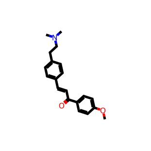 COc1ccc(C(=O)C=Cc2ccc(CCN(C)C)cc2)cc1